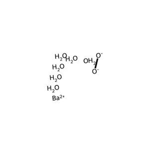 O.O.O.O.O.O.[Ba+2].[O-][O-]